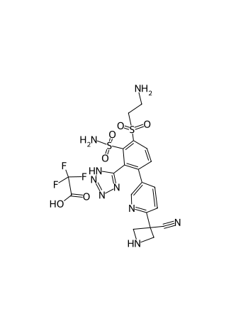 N#CC1(c2ccc(-c3ccc(S(=O)(=O)CCN)c(S(N)(=O)=O)c3-c3nnn[nH]3)cn2)CNC1.O=C(O)C(F)(F)F